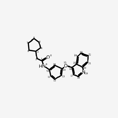 O=C(CC1CCCCC1)Nc1cccc(Oc2ccnc3ccccc23)c1